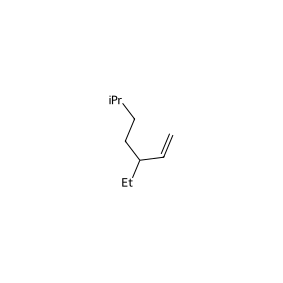 C=CC(CC)CCC(C)C